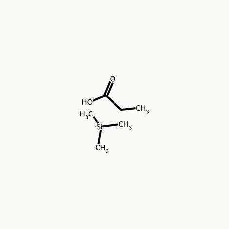 CCC(=O)O.C[Si](C)C